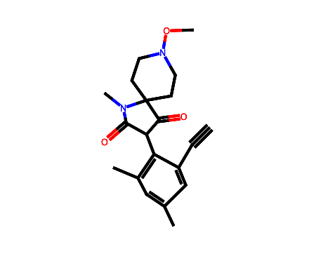 C#Cc1cc(C)cc(C)c1C1C(=O)N(C)C2(CCN(OC)CC2)C1=O